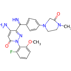 COc1cccc(F)c1-n1nc(C(=N)c2ccc(N3CCN(C)C(=O)C3)cc2)c(N)cc1=O